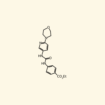 CCOC(=O)c1ccc(NC(=O)Nc2ccc(N3CCOCC3)nc2)cc1